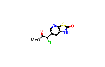 COC(=O)C(Cl)c1cnc2sc(=O)[nH]c2c1